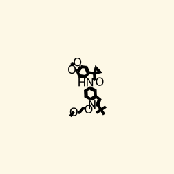 COCCOn1c(C(C)(C)C)cc2cc(NC(=O)C3(c4ccc5c(c4)OCO5)CC3)ccc21